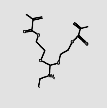 [CH2]C[SiH2]C(OCCOC(=O)C(=C)C)OCCOC(=O)C(=C)C